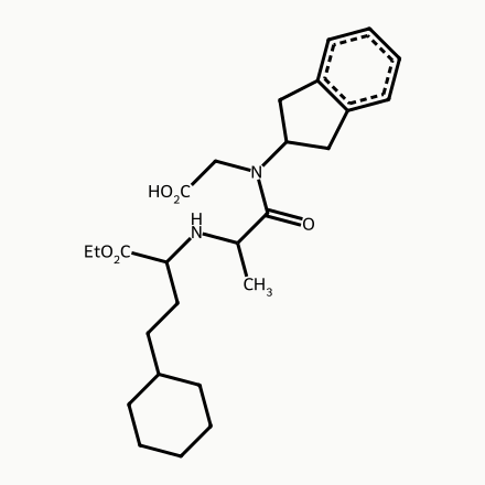 CCOC(=O)C(CCC1CCCCC1)NC(C)C(=O)N(CC(=O)O)C1Cc2ccccc2C1